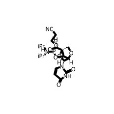 [2H][C@@H](C)[C@]12CO[C@H]([C@H](n3ccc(=O)[nH]c3=O)O1)[C@H]2OP(OCCC#N)N(C(C)C)C(C)C